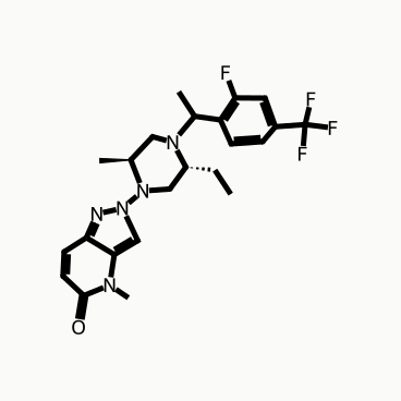 CC[C@@H]1CN(n2cc3c(ccc(=O)n3C)n2)[C@@H](C)CN1C(C)c1ccc(C(F)(F)F)cc1F